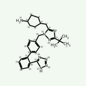 CC(C)(C)c1nc(CC2CCC(N)CC2)n(Cc2ccc(-c3ccccc3-c3nnn[nH]3)cc2)n1